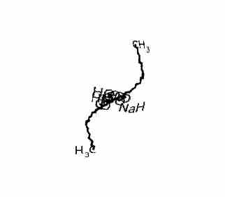 CCCCCCCC/C=C\CCCCCCCC(=O)OC(=N)CC(C(=O)OC(=O)CCCCCCC/C=C\CCCCCCCC)S(=O)(=O)O.[NaH]